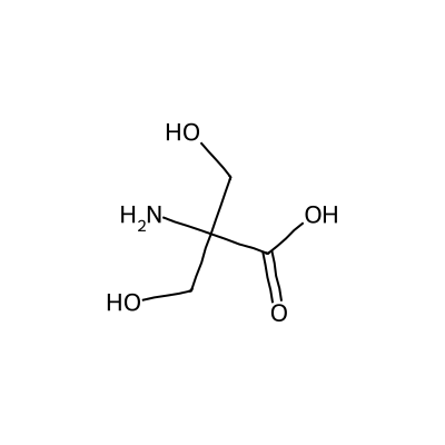 NC(CO)(CO)C(=O)O